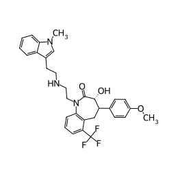 COc1ccc(C2Cc3c(cccc3C(F)(F)F)N(CCNCCc3cn(C)c4ccccc34)C(=O)[C@@H]2O)cc1